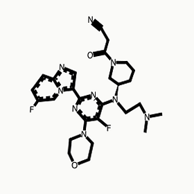 CN(C)CCN(c1nc(-c2cnc3ccc(F)cn23)nc(N2CCOCC2)c1F)[C@@H]1CCCN(C(=O)CC#N)C1